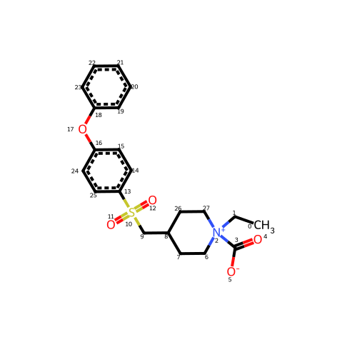 CC[N+]1(C(=O)[O-])CCC(CS(=O)(=O)c2ccc(Oc3ccccc3)cc2)CC1